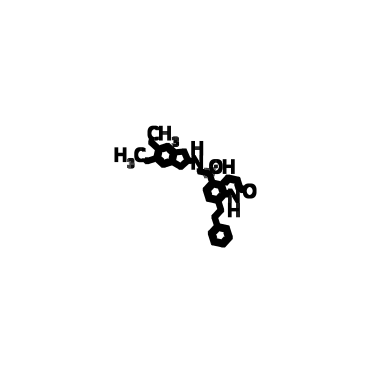 CCc1cc2c(cc1CC)CC(NC[C@H](O)c1ccc(CCc3ccccc3)c3[nH]c(=O)ccc13)C2